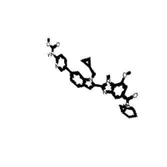 COC(=O)Nc1ccc(-c2ccc3cc(-c4nc5cc(C(=O)N6CC7CCC6[C@@H]7C)cc(OC)c5n4C)n(CC4CC4)c3c2)cn1